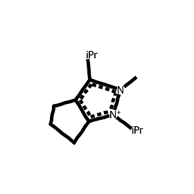 CC(C)c1c2c([n+](C(C)C)n1C)CCC2